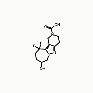 O=C(O)N1CCc2nn3c(c2C1)C(F)(F)CCC(O)C3